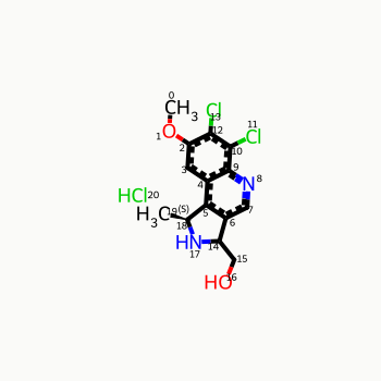 COc1cc2c3c(cnc2c(Cl)c1Cl)C(CO)N[C@H]3C.Cl